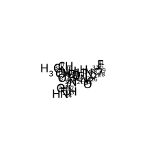 CC(C)(C)NC(=O)C(=O)C(CC1CCCNC1=O)NC(=O)CNC(=O)c1cc2ccc(F)cc2[nH]1